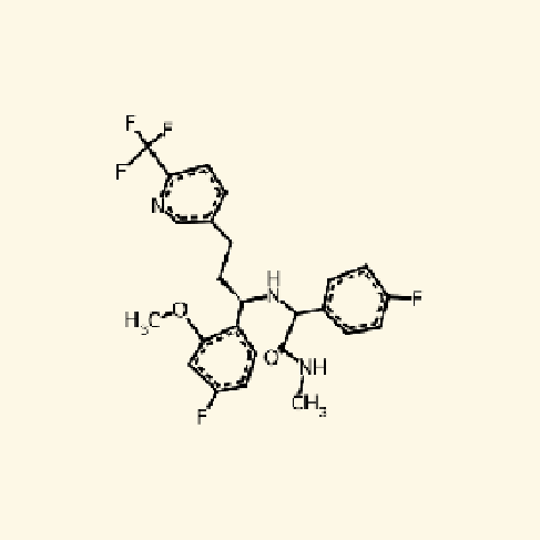 CNC(=O)C(N[C@H](CCc1ccc(C(F)(F)F)nc1)c1ccc(F)cc1OC)c1ccc(F)cc1